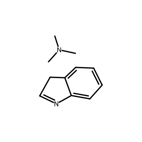 C1=Nc2ccccc2C1.CN(C)C